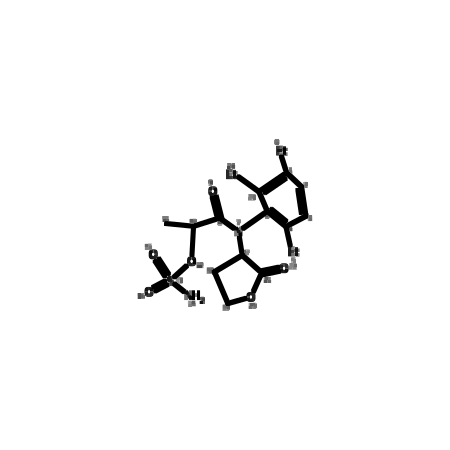 CCc1ccc(CC)c(N(C(=O)C(C)OS(N)(=O)=O)C2CCOC2=O)c1CC